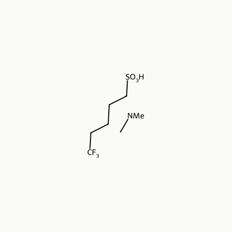 CNC.O=S(=O)(O)CCCCC(F)(F)F